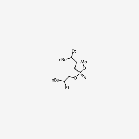 CCCCC(CC)COP(=S)([O][Mo])SCC(CC)CCCC